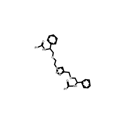 CC(C)C(=O)NC(COCCn1cc(COCC(NC(=O)C(C)C)c2ccccc2)nn1)c1ccccc1